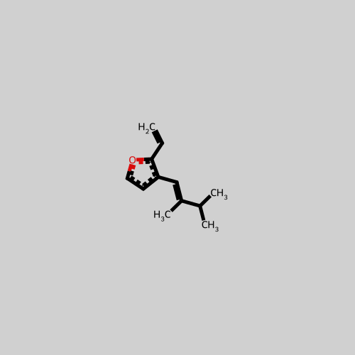 C=Cc1occc1/C=C(\C)C(C)C